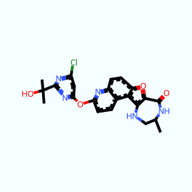 CC1CNc2c(oc3ccc4nc(Oc5cc(Cl)nc(C(C)(C)O)n5)ccc4c23)C(=O)N1